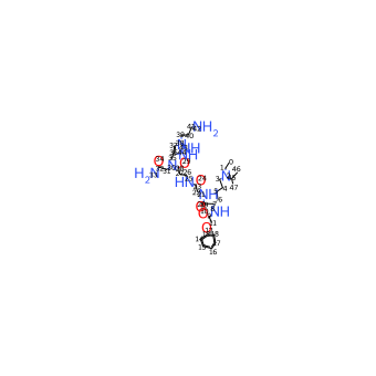 CCN(CCCC[C@H](NC(=O)COc1ccccc1)C(=O)NCC(=O)NCCC(=O)N(CC(N)=O)CC1=CN(CCCN)NN1)C(C)C